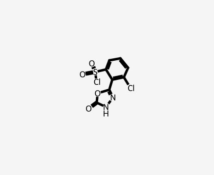 O=c1[nH]nc(-c2c(Cl)cccc2S(=O)(=O)Cl)o1